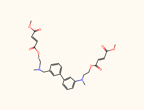 COC(=O)/C=C/C(=O)OCCN(C)Cc1cccc(-c2cccc(N(C)CCOC(=O)/C=C/C(=O)OC)c2)c1